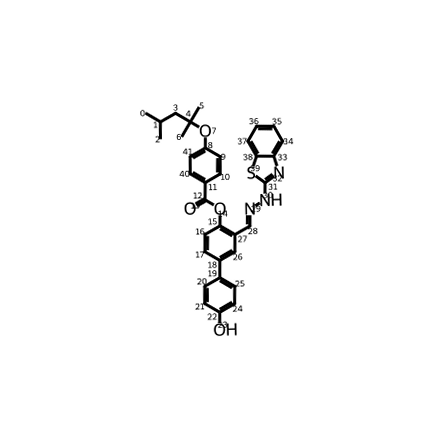 CC(C)CC(C)(C)Oc1ccc(C(=O)Oc2ccc(-c3ccc(O)cc3)cc2/C=N/Nc2nc3ccccc3s2)cc1